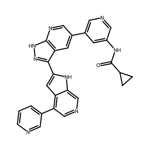 O=C(Nc1cncc(-c2cnc3[nH]nc(-c4cc5c(-c6cccnc6)cncc5[nH]4)c3c2)c1)C1CC1